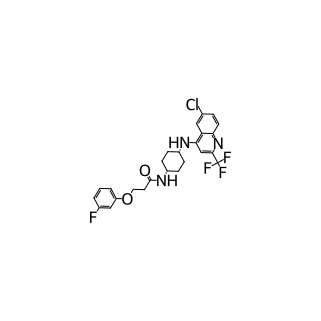 O=C(CCOc1cccc(F)c1)N[C@H]1CC[C@@H](Nc2cc(C(F)(F)F)nc3ccc(Cl)cc23)CC1